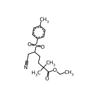 CCOC(=O)C(C)(C)CCC(CC#N)S(=O)(=O)c1ccc(C)cc1